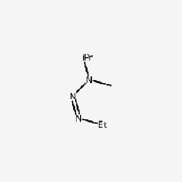 CC/N=N\N(C)C(C)C